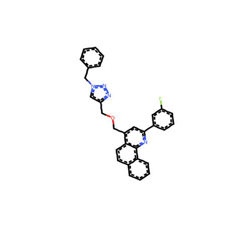 Fc1cccc(-c2cc(COCc3cn(Cc4ccccc4)nn3)c3ccc4ccccc4c3n2)c1